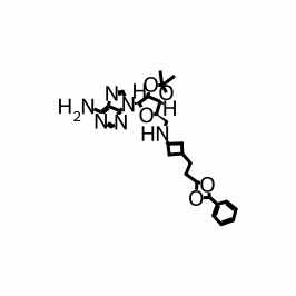 CC1(C)O[C@@H]2[C@H](O1)[C@@H](CNC1CC(CCC3OC(c4ccccc4)O3)C1)O[C@H]2n1cnc2c(N)ncnc21